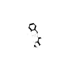 O=C(NCc1ccccc1C(F)(F)F)c1cscn1